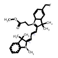 COC(=O)CC[N+]1=C(/C=C/C=C2/N(C)c3ccccc3C2(C)C)C(C)(C)C2C=C(CF)C=CC21